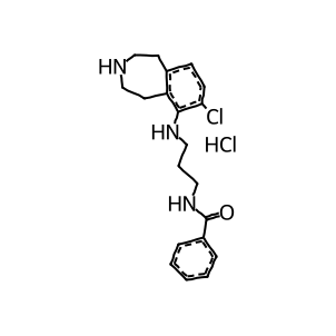 Cl.O=C(NCCCNc1c(Cl)ccc2c1CCNCC2)c1ccccc1